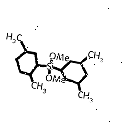 CO[Si](OC)(C1CC(C)CC(C)C1)C1CC(C)CCC1C